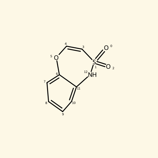 O=S1(=O)C=COc2ccccc2N1